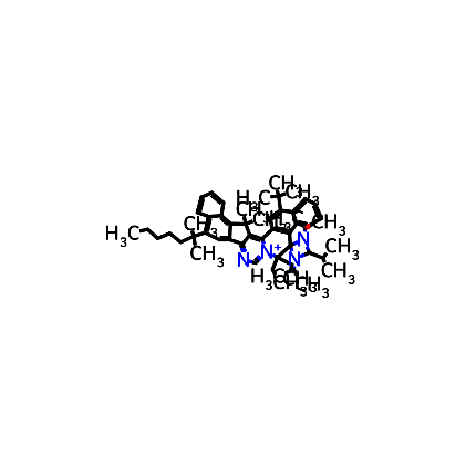 CCCCCC(C)(C)c1cc2c(c3ccccc13)C(C)(C)c1c-2nc[n+]2c1-c1cc(C(C)(C)C)c3ccccc3c1C1(N(C(C)C)C(C(C)C)N1C(C)C)C2(CC)CC